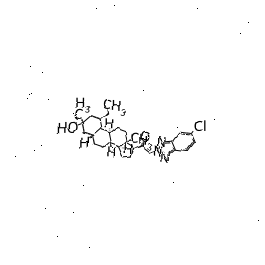 CC[C@@H]1C[C@@](C)(O)C[C@H]2CC[C@@H]3[C@H](CC[C@]4(C)[C@@H](C(=O)Cn5nc6ccc(Cl)cc6n5)CC[C@@H]34)C12